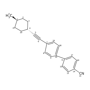 C[C@H]1CC[C@H](C#Cc2ccc(-c3ccc(C#N)cc3)cc2)CC1